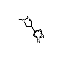 CN1CC(c2cn[nH]c2)C=N1